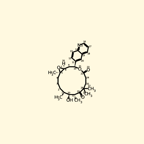 C[C@H]1CCC[C@@]2(C)O[C@H]2C[C@@H](c2ccc3ncccc3c2)OC(=O)CCC(C)(C)C(=O)[C@H](C)[C@H]1O